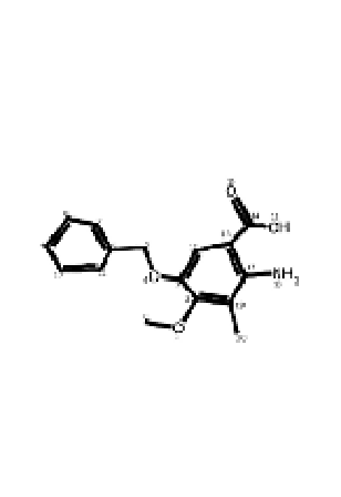 COc1c(OCc2ccccc2)cc(C(=O)O)c(N)c1C